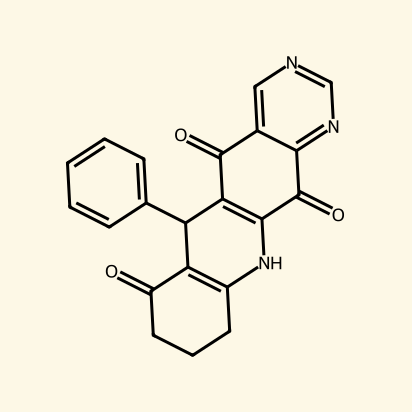 O=C1CCCC2=C1C(c1ccccc1)C1=C(N2)C(=O)c2ncncc2C1=O